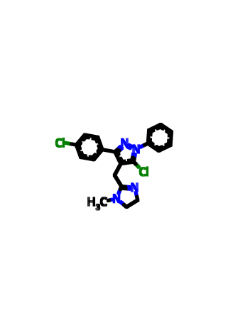 CN1CCN=C1Cc1c(-c2ccc(Cl)cc2)nn(-c2ccccc2)c1Cl